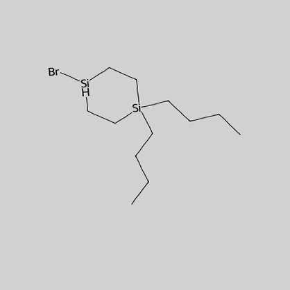 CCCC[Si]1(CCCC)CC[SiH](Br)CC1